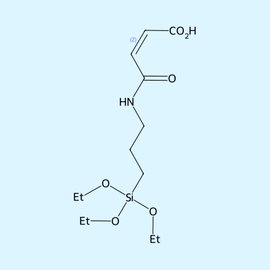 CCO[Si](CCCNC(=O)/C=C\C(=O)O)(OCC)OCC